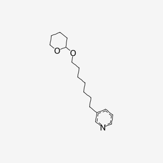 c1cncc(CCCCCCCOC2CCCCO2)c1